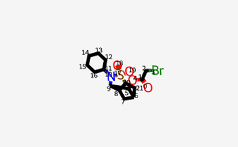 O=C(CBr)OC1C2CC3C1N(C1CCCCC1)S(=O)(=O)C3C2